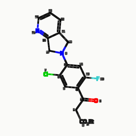 CCOC(=O)CC(=O)c1cc(Cl)c(N2Cc3cccnc3C2)cc1F